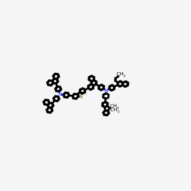 C=C/C=C\c1cc2ccccc2cc1-c1ccc(N(C2=CC=C(c3ccc4c(c3)C(C)(C)c3ccccc3-4)CC2)c2ccc(-c3cc4ccccc4c4cc(-c5ccc6c(c5)sc5ccc(-c7ccc(N(c8ccc(-c9cc%10ccccc%10c%10ccccc9%10)cc8)c8ccc(-c9cc%10ccccc%10c%10ccccc9%10)cc8)cc7)cc56)ccc34)cc2)cc1